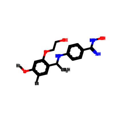 CCOc1cc(OCCO)c(C(Nc2ccc(C(=N)NO)cc2)C(=O)O)cc1CC